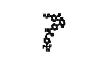 CCC(F)(F)c1ccc(CC(=O)Nc2ccc(-c3nccnc3-c3ccc(C)cc3F)cc2)cc1